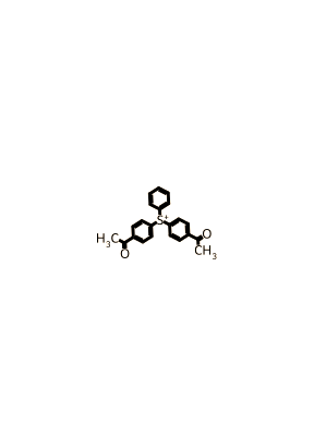 CC(=O)c1ccc([S+](c2ccccc2)c2ccc(C(C)=O)cc2)cc1